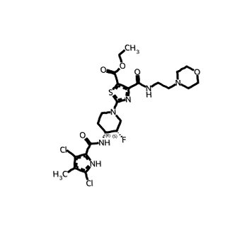 CCOC(=O)c1sc(N2CC[C@@H](NC(=O)c3[nH]c(Cl)c(C)c3Cl)[C@@H](F)C2)nc1C(=O)NCCN1CCOCC1